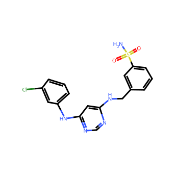 NS(=O)(=O)c1cccc(CNc2cc(Nc3cccc(Cl)c3)ncn2)c1